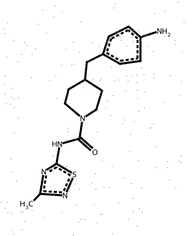 Cc1nsc(NC(=O)N2CCC(Cc3ccc(N)cc3)CC2)n1